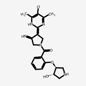 CC1=N/C(=C2\CN(C(=O)c3ccccc3O[C@H]3CNC[C@@H]3O)CC2=N)NC(C)=C1Cl